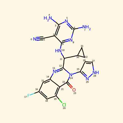 N#Cc1c(N)nc(N)nc1NC(c1nc2cc(F)cc(Cl)c2c(=O)n1-c1cc[nH]n1)C1CC1